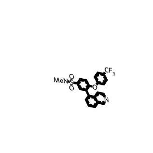 CNS(=O)(=O)c1ccc(Oc2ccc(C(F)(F)F)cc2)c(-c2cccc3cnccc23)c1